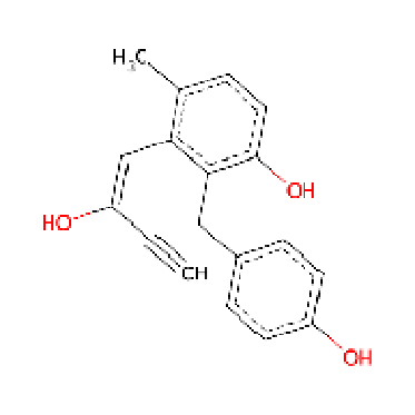 C#C/C(O)=C\c1c(C)ccc(O)c1Cc1ccc(O)cc1